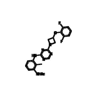 CC(=O)Nc1cccc(Nc2ncnc(N3CC(Oc4c(F)cccc4F)C3)n2)c1C